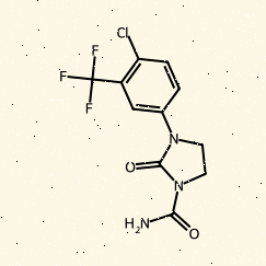 NC(=O)N1CCN(c2ccc(Cl)c(C(F)(F)F)c2)C1=O